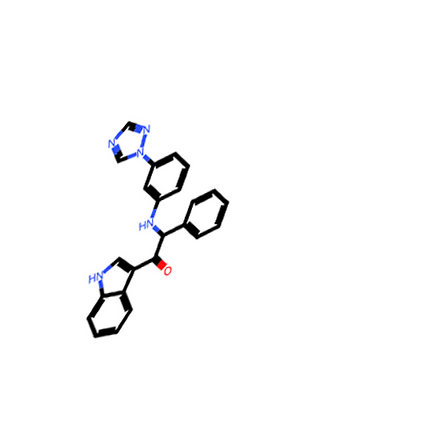 O=C(c1c[nH]c2ccccc12)C(Nc1cccc(-n2cncn2)c1)c1ccccc1